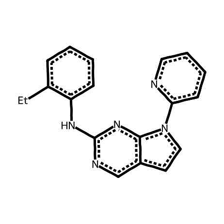 CCc1ccccc1Nc1ncc2ccn(-c3ccccn3)c2n1